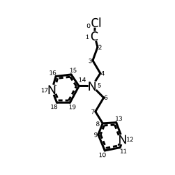 ClCCCCN(CCc1cccnc1)c1ccncc1